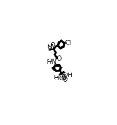 CC(C)(c1ccc(NC(=O)CCc2cnoc2-c2ccc(Cl)cc2)cc1)P(=O)(O)O